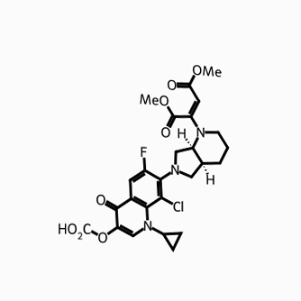 COC(=O)C=C(C(=O)OC)N1CCC[C@H]2CN(c3c(F)cc4c(=O)c(OC(=O)O)cn(C5CC5)c4c3Cl)C[C@H]21